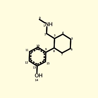 CNCC1CCCCC1c1cccc(O)c1